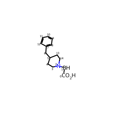 O=C(O)BN1CCC(Cc2ccccc2)CC1